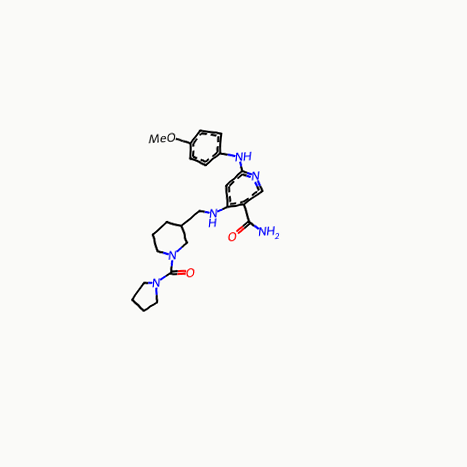 COc1ccc(Nc2cc(NCC3CCCN(C(=O)N4CCCC4)C3)c(C(N)=O)cn2)cc1